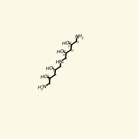 NCC(O)C[C@@H](O)CNC[C@@H](O)C[C@@H](O)CN